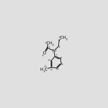 CCCN(C(C)=O)c1cccc(C)c1